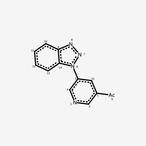 CC(=O)c1cncc(-n2nnc3ccccc32)c1